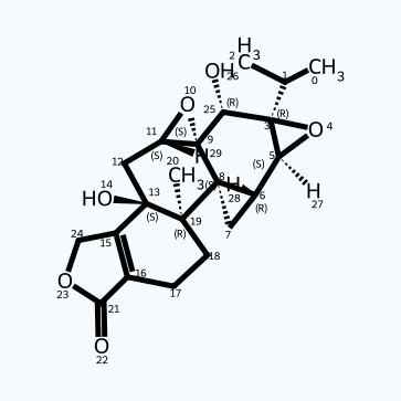 CC(C)[C@]12O[C@H]1[C@@H]1C[C@]13[C@]1(O[C@H]1C[C@@]1(O)C4=C(CC[C@]31C)C(=O)OC4)[C@@H]2O